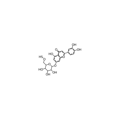 O=c1cc(-c2ccc(O)c(O)c2)oc2cc(OC3OC(COS)C(O)C(O)C3O)cc(O)c12